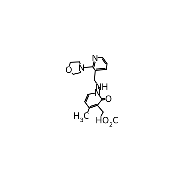 Cc1ccn(NCc2cccnc2N2CCOCC2)c(=O)c1CC(=O)O